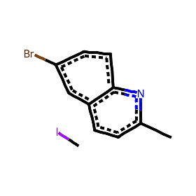 CI.Cc1ccc2cc(Br)ccc2n1